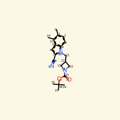 Cc1ccc2c(cc(C#N)n2CC2CN(C(=O)OC(C)(C)C)C2)c1C